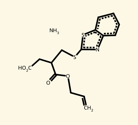 C=CCOC(=O)C(CSc1nc2ccccc2s1)CC(=O)O.N